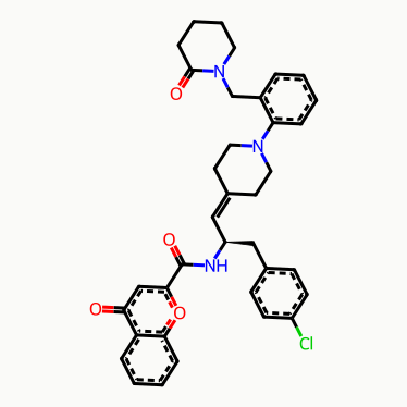 O=C(N[C@@H](C=C1CCN(c2ccccc2CN2CCCCC2=O)CC1)Cc1ccc(Cl)cc1)c1cc(=O)c2ccccc2o1